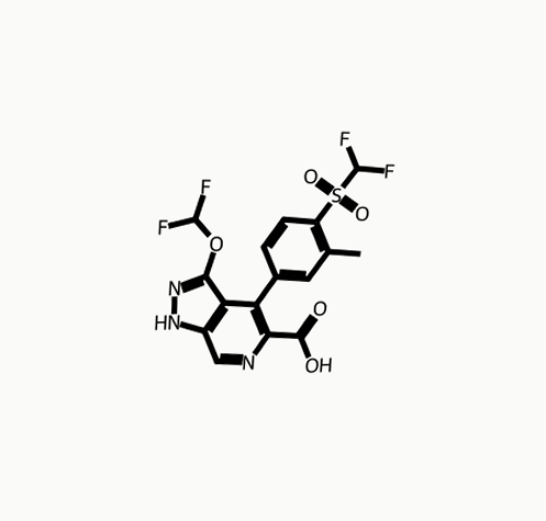 Cc1cc(-c2c(C(=O)O)ncc3[nH]nc(OC(F)F)c23)ccc1S(=O)(=O)C(F)F